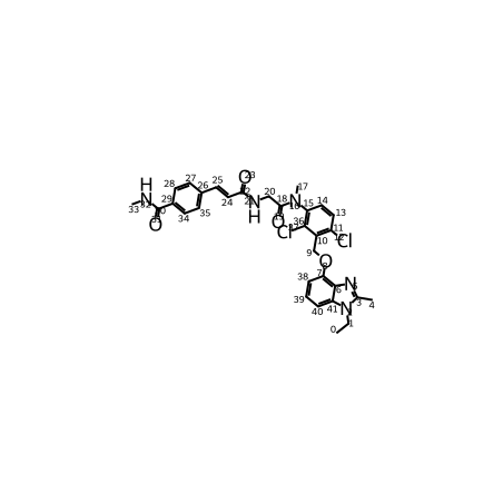 CCn1c(C)nc2c(OCc3c(Cl)ccc(N(C)C(=O)CNC(=O)C=Cc4ccc(C(=O)NC)cc4)c3Cl)cccc21